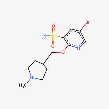 CN1CCC(COc2ncc(Br)cc2S(N)(=O)=O)CC1